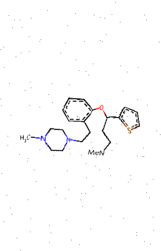 CNCCC(Oc1ccccc1CCN1CCN(C)CC1)c1cccs1